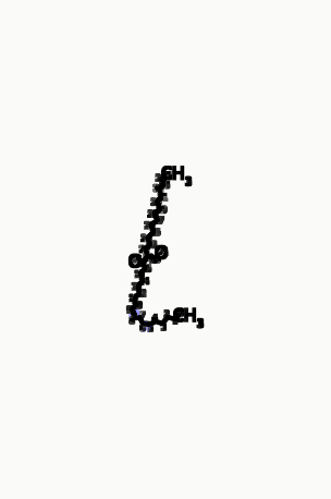 CCCCC/C=C\C/C=C\CCCCCCCC(=O)C([C]=O)CCCCCCCCCCCCCC